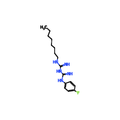 CCCCCCCCNC(=N)NC(=N)Nc1ccc(F)cc1